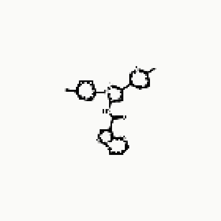 Cc1ccc(-n2nc(-c3ccc(C)nc3)cc2NC(=O)c2cnn3cccnc23)cc1